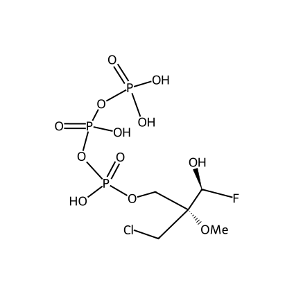 CO[C@](CCl)(COP(=O)(O)OP(=O)(O)OP(=O)(O)O)[C@@H](O)F